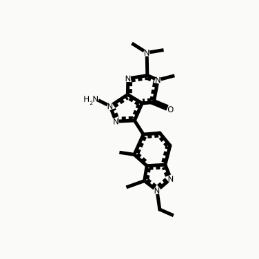 CCn1nc2ccc(-c3nn(N)c4nc(N(C)C)n(C)c(=O)c34)c(C)c2c1C